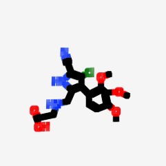 COc1ccc(-c2c(CNCC(=O)O)[nH]c(C#N)c2Cl)c(OC)c1OC